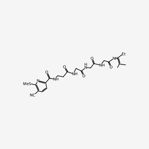 CCC(NC(=O)CNC(=O)CNC(=O)CNC(=O)CCNC(=O)c1ccc(C#N)c(SC)n1)=C(C)C